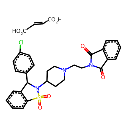 O=C(O)C=CC(=O)O.O=C1c2ccccc2C(=O)N1CCN1CCC(N2C(c3ccc(Cl)cc3)c3ccccc3S2(=O)=O)CC1